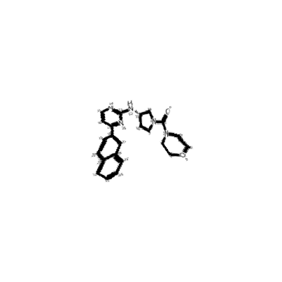 O=C(N1CCOCC1)N1CC[C@H](Nc2nccc(-c3ccc4ccccc4c3)n2)C1